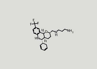 NCCCNC[C@H]1CC[C@@H]2[C@H](O1)c1cc(C(F)(F)F)ccc1N[C@H]2C1C=CC=CC1